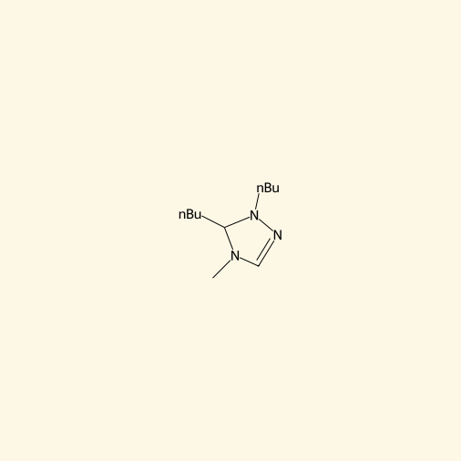 CCCCC1N(C)C=NN1CCCC